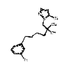 CC(C)(C)C(O)(CCCCc1cccc(Cl)c1)Cn1ncnc1S